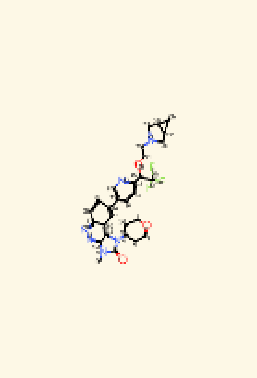 Cn1c(=O)n(C2CCOCC2)c2c3cc(-c4ccc(C(OCCN5CC6CC6C5)C(F)(F)F)nc4)ccc3nnc21